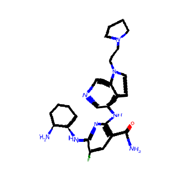 NC(=O)c1cc(F)c(N[C@@H]2CCCC[C@@H]2N)nc1Nc1cncc2c1ccn2CCN1CCCC1